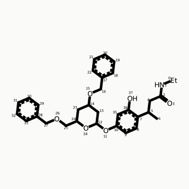 CCNC(=O)CC(C)c1ccc(OC2CC(OCc3ccccc3)CC(COCc3ccccc3)O2)cc1O